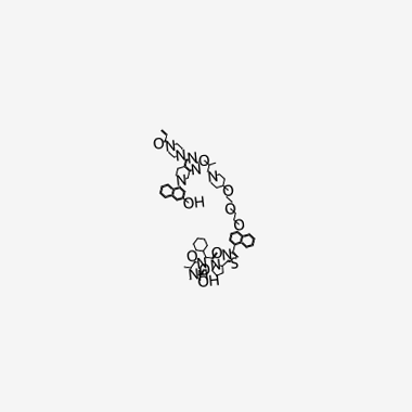 C=CC(=O)N1CCN(c2nc(OC(C)CN3CCC(OCCOCCOc4ccc(-c5csc(C6CCCN6C(=O)[C@@H](NC(=O)C(C)N(C)C(=O)O)C6CCCCC6)n5)c5ccccc45)CC3)nc3c2CCN(c2cc(O)cc4ccccc24)C3)CC1